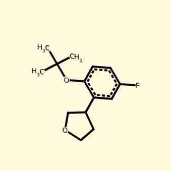 CC(C)(C)Oc1ccc(F)cc1C1CCOC1